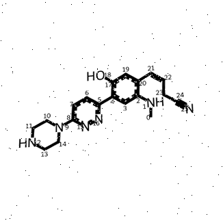 CNc1cc(-c2ccc(N3CCNCC3)nn2)c(O)cc1/C=C\CC#N